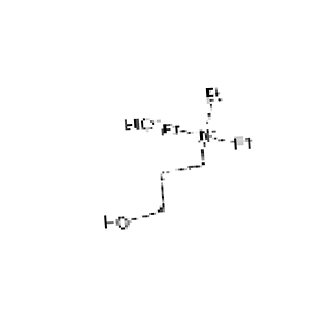 CC[N+](CC)(CC)CCCO.[OH-]